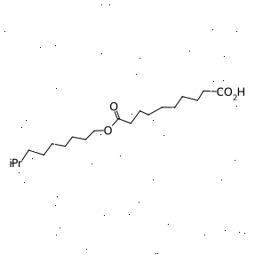 CC(C)CCCCCCCOC(=O)CCCCCCCCC(=O)O